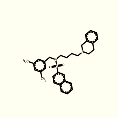 Cc1cc(C)cc(CN(CCCCN2CCc3ccccc3C2)S(=O)(=O)c2ccc3ccccc3c2)c1